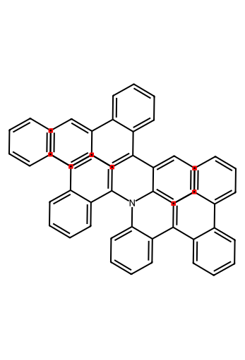 c1ccc(-c2ccc(N(c3ccccc3-c3cc4ccccc4c4ccccc34)c3ccccc3-c3cc4ccccc4c4ccccc34)c3ccccc23)cc1